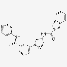 O=C(Nc1ccncc1)c1cccc(-n2cc(NC(=O)n3cc4ccccc4c3)cn2)c1